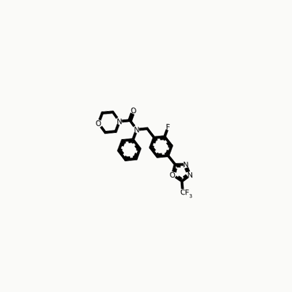 O=C(N1CCOCC1)N(Cc1ccc(-c2nnc(C(F)(F)F)o2)cc1F)c1ccccc1